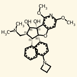 COc1cc2c(c(OC)n1)[C@]1(O)[C@H](O)[C@H](CN(C)C)[C@@H](c3ccccc3)[C@]1(c1ccc(N3CCC3)cc1)O2